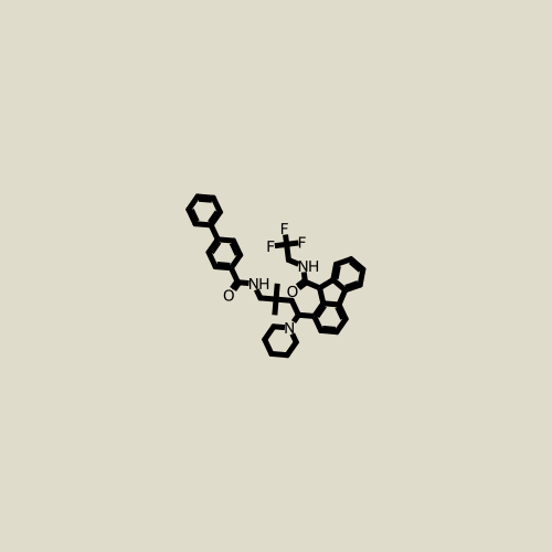 CC(C)(CNC(=O)c1ccc(-c2ccccc2)cc1)CC(c1cccc2c1C(C(=O)NCC(F)(F)F)c1ccccc1-2)N1CCCCC1